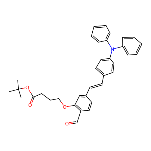 CC(C)(C)OC(=O)CCCOc1cc(/C=C/c2ccc(N(c3ccccc3)c3ccccc3)cc2)ccc1C=O